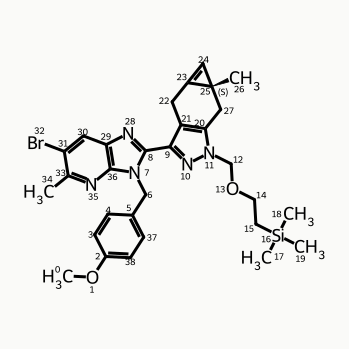 COc1ccc(Cn2c(-c3nn(COCC[Si](C)(C)C)c4c3CC3=C[C@]3(C)C4)nc3cc(Br)c(C)nc32)cc1